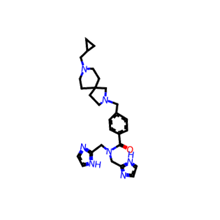 O=C(c1ccc(CN2CCC3(CCN(CC4CC4)CC3)C2)cc1)N(Cc1ncc[nH]1)Cc1ncc[nH]1